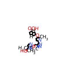 Cc1nc(-c2nnn(C)c2COc2nccc(C(C)(C)O)n2)ccc1O[C@H]1C[C@@H]2CC[C@@H](C(=O)O)[C@@H]2C1